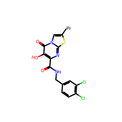 CC(C)c1cn2c(=O)c(O)c(C(=O)NCc3ccc(Cl)c(Cl)c3)nc2s1